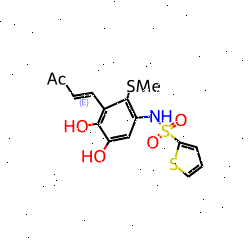 CSc1c(NS(=O)(=O)c2cccs2)cc(O)c(O)c1/C=C/C(C)=O